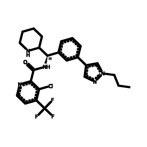 CCCn1cc(-c2cccc([C@H](NC(=O)c3nccc(C(F)(F)F)c3Cl)C3CCCCN3)c2)cn1